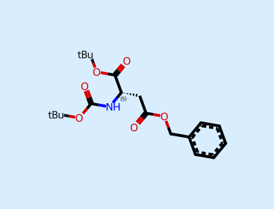 CC(C)(C)OC(=O)N[C@@H](CC(=O)OCc1ccccc1)C(=O)OC(C)(C)C